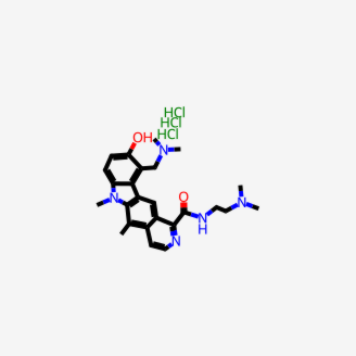 Cc1c2ccnc(C(=O)NCCN(C)C)c2cc2c3c(CN(C)C)c(O)ccc3n(C)c12.Cl.Cl.Cl